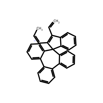 C=CC1=C(/C=C\C)C2(c3ccccc31)c1ccccc1-c1ccccc1-c1ccccc12